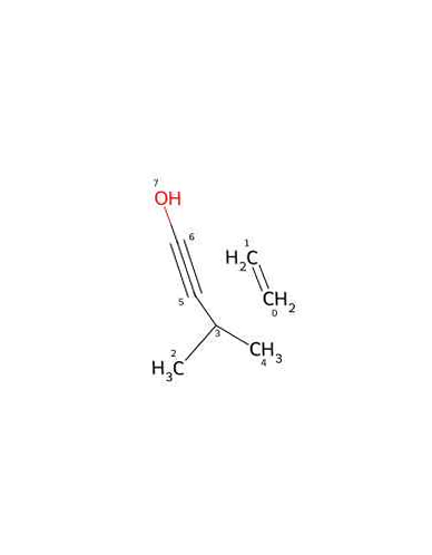 C=C.CC(C)C#CO